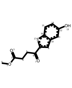 COC(=O)CCC(=O)c1cc2cc(O)ccc2s1